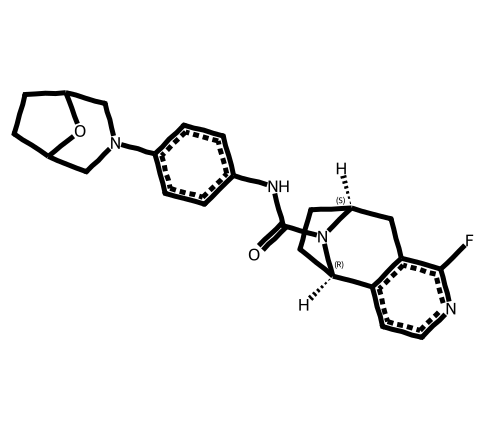 O=C(Nc1ccc(N2CC3CCC(C2)O3)cc1)N1[C@H]2CC[C@@H]1c1ccnc(F)c1C2